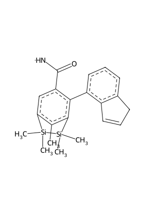 Cc1c2cc(C([NH])=O)c(-c3cccc4c3C=CC4)c1[Si](C)(C)[Si]2(C)C